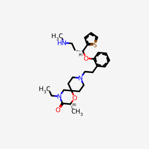 CCN1CC2(CCN(CCc3ccccc3O[C@H](CCNC)c3cccs3)CC2)O[C@H](C)C1=O